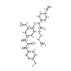 CSc1ccc(NC(=O)Nc2ccc(CC(c3ccc(C#N)cc3)N(C)CCCN)c(C=O)c2)cc1